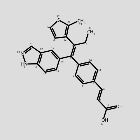 CCC(=C(c1ccc(C=CC(=O)O)cc1)c1ccc2[nH]ncc2c1)c1ccsc1C